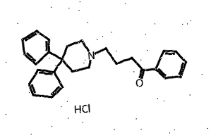 Cl.O=C(CCCN1CCC(c2ccccc2)(c2ccccc2)CC1)c1ccccc1